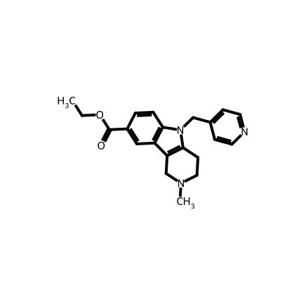 CCOC(=O)c1ccc2c(c1)c1c(n2Cc2ccncc2)CCN(C)C1